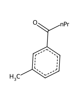 CCCC(=O)c1cccc(C)c1